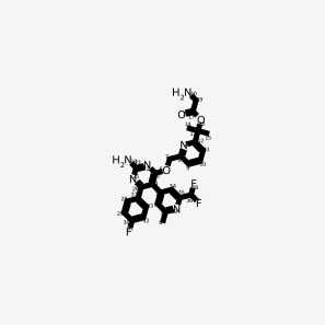 Cc1cc(-c2c(OCc3cccc(C(C)(C)OC(=O)CN)n3)nc(N)nc2-c2ccc(F)cc2)cc(C(F)F)n1